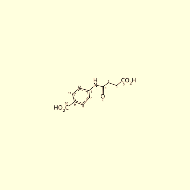 O=C(O)CCC(=O)Nc1ccc(C(=O)O)cc1